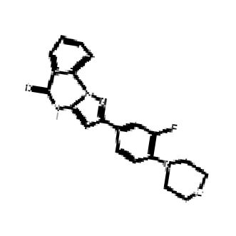 O=c1[nH]c2cc(-c3ccc(N4CCOCC4)c(F)c3)nn2c2ccccc12